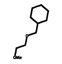 COCCOC[C]1CCCCC1